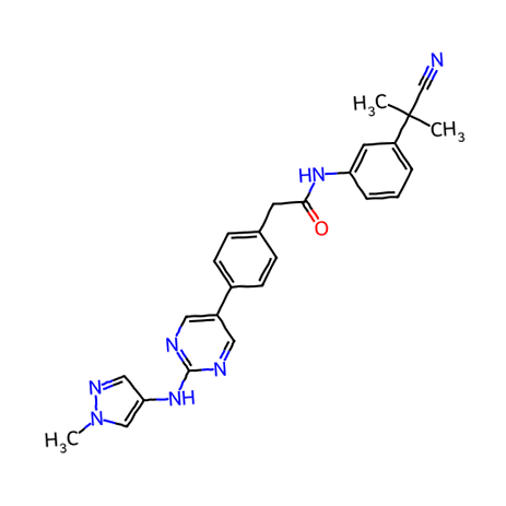 Cn1cc(Nc2ncc(-c3ccc(CC(=O)Nc4cccc(C(C)(C)C#N)c4)cc3)cn2)cn1